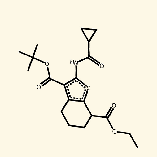 CCOC(=O)C1CCCc2c1sc(NC(=O)C1CC1)c2C(=O)OC(C)(C)C